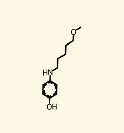 COCCCCCNc1ccc(O)cc1